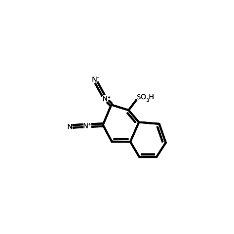 [N-]=[N+]=C1C=c2ccccc2=C(S(=O)(=O)O)C1=[N+]=[N-]